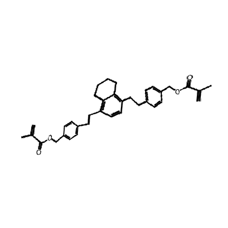 C=C(C)C(=O)OCc1ccc(CCc2ccc(CCc3ccc(COC(=O)C(=C)C)cc3)c3c2CCCC3)cc1